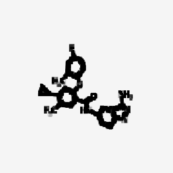 Cc1cc(F)ccc1Oc1cc(C2CC2)c(C(F)(F)F)cc1C(=O)Nc1ccc2nnc(N)n2c1